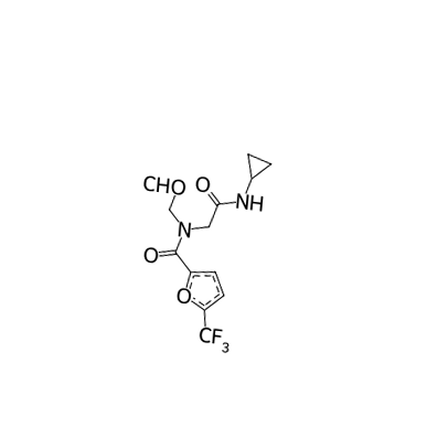 O=CCN(CC(=O)NC1CC1)C(=O)c1ccc(C(F)(F)F)o1